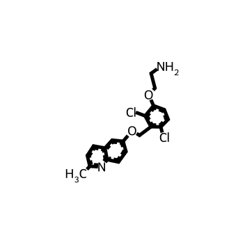 Cc1ccc2cc(OCc3c(Cl)ccc(OCCN)c3Cl)ccc2n1